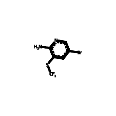 Nc1ncc(Br)cc1SC(F)(F)F